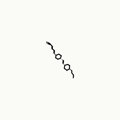 CCCC[C@H]1CC[C@H](C=C[C@H]2CC[C@H](C=CC=CC#N)CC2)CC1